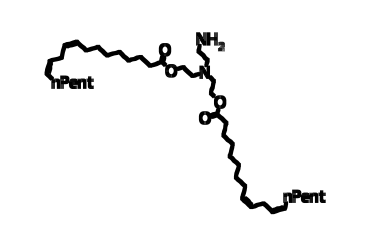 CCCCC/C=C\C/C=C\CCCCCCCC(=O)OCCN(CCN)CCOC(=O)CCCCCCC/C=C\C/C=C\CCCCC